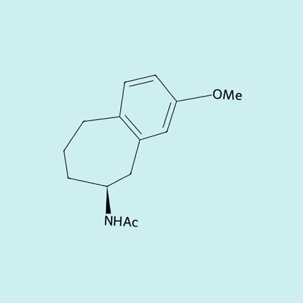 COc1ccc2c(c1)C[C@@H](NC(C)=O)CCC2